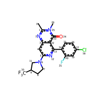 Cc1nc2cc(N3CCC(C(F)(F)F)C3)nc(-c3ccc(Cl)cc3F)c2c(=O)n1C